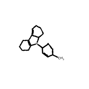 CC1C=CC(N2C3=C(CCCC3)C3=CCCCC32)CC1